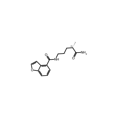 C[C@@H](C[CH]CNC(=O)c1cccc2occc12)C(N)=O